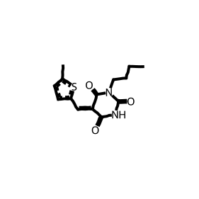 CCCCN1C(=O)NC(=O)C(=Cc2ccc(C)s2)C1=O